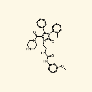 COc1cccc(NC(=O)NCCn2c(C(=O)N3CCNCC3)c(-c3ccccc3)n(-c3ccccc3C)c2=O)c1